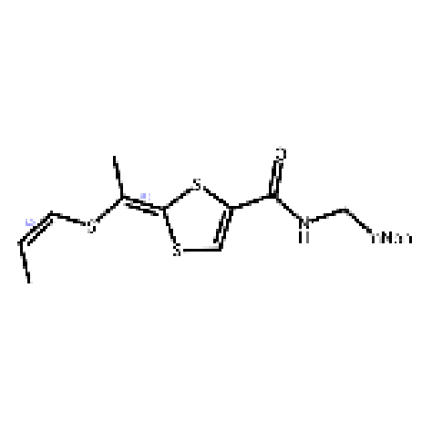 C/C=C\S/C(C)=C1\SC=C(C(=O)NCCCCCCCCCC)S1